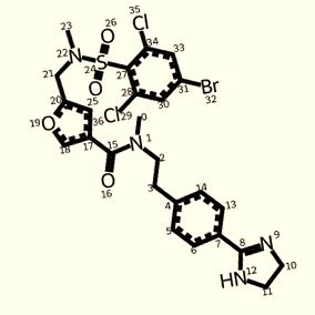 CN(CCc1ccc(C2=NCCN2)cc1)C(=O)c1coc(CN(C)S(=O)(=O)c2c(Cl)cc(Br)cc2Cl)c1